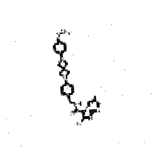 CCc1nc2ncc(Cl)cn2c1C(=O)NCc1ccc(N2CC3(C2)CN(c2ccc(OC(F)(F)F)cc2)C3)cc1